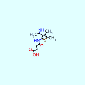 CC(=N)c1c(NC(=O)CCC(=O)O)sc(C)c1C